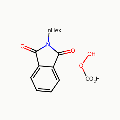 CCCCCCN1C(=O)c2ccccc2C1=O.O=C(O)OO